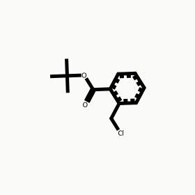 CC(C)(C)OC(=O)c1ccccc1CCl